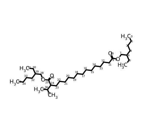 CCCCC(CC)COC(=O)CCCCCCCCCCCCCC(C(=O)OCC(CC)CCCC)C(C)C